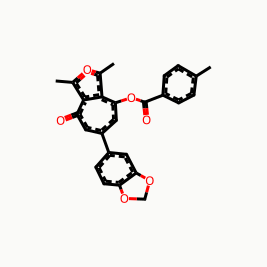 Cc1ccc(C(=O)Oc2cc(-c3ccc4c(c3)OCO4)cc(=O)c3c(C)oc(C)c23)cc1